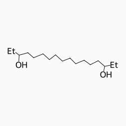 CCC(O)CCCCCCCCCCCC(O)CC